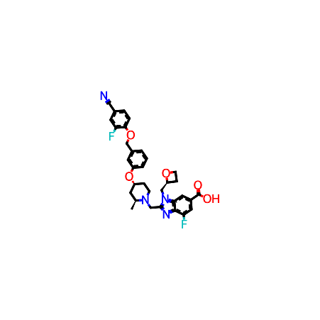 C[C@H]1C[C@@H](Oc2cccc(COc3ccc(C#N)cc3F)c2)CCN1Cc1nc2c(F)cc(C(=O)O)cc2n1C[C@@H]1CCO1